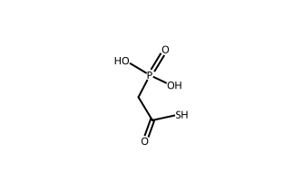 O=C(S)CP(=O)(O)O